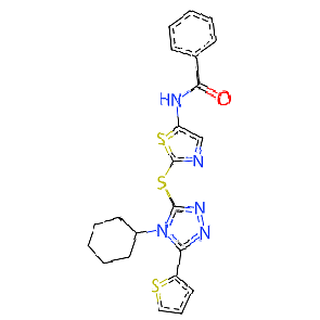 O=C(Nc1cnc(Sc2nnc(-c3cccs3)n2C2CCCCC2)s1)c1ccccc1